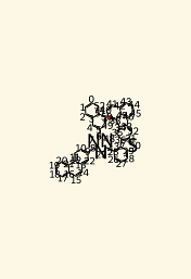 c1ccc2cc(-c3nc(-c4ccc5c(ccc6ccccc65)c4)nc(-c4cccc5sc6cc7c(cc6c45)-c4cccc5cccc-7c45)n3)ccc2c1